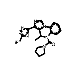 CC(C)c1nc(-c2ncn3c2C(C)N(C(=O)N2CCCC2)c2ccccc2-3)no1